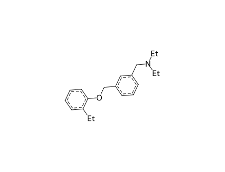 CCc1ccccc1OCc1cccc(CN(CC)CC)c1